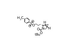 Cc1ccc(S(=O)(=O)OCCC[C@@H]2[C@@H]3C[C@@H]3CN2C(=O)OC(C)(C)C)cc1